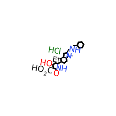 CCc1c(-c2ccc3c(c2)cc(CNCc2ccccc2)n3C)[nH]c(=O)c(C(=O)O)c1O.Cl